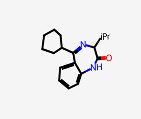 CC(C)C1N=C(C2CCCCC2)c2ccccc2NC1=O